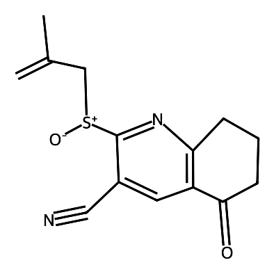 C=C(C)C[S+]([O-])c1nc2c(cc1C#N)C(=O)CCC2